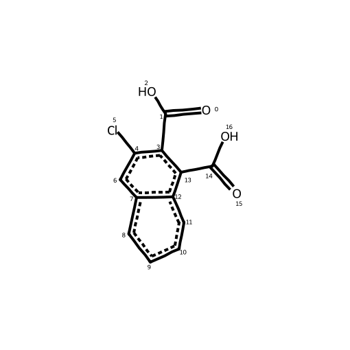 O=C(O)c1c(Cl)cc2ccccc2c1C(=O)O